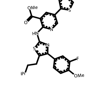 COC(=O)c1cc(-c2cccs2)cnc1Nc1nc(-c2ccc(OC)c(F)c2)c(CCC(C)C)s1